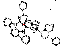 c1ccc(-c2nc(-c3ccccc3)nc(-n3c4ccccc4c4ccc5c6ccccc6n(-c6cccc7nc(-c8ccc(-c9ccccc9)c9ccccc89)oc67)c5c43)n2)cc1